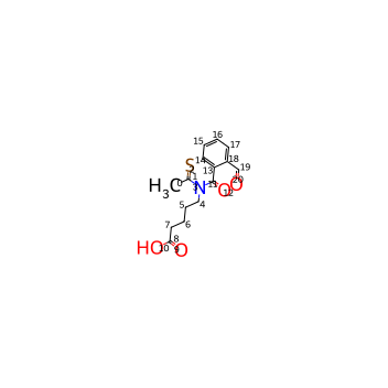 CC(=S)N(CCCCC(=O)O)C(=O)c1ccccc1C=O